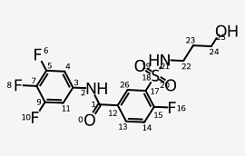 O=C(Nc1cc(F)c(F)c(F)c1)c1ccc(F)c(S(=O)(=O)NCCCO)c1